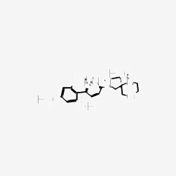 Cc1cc(C)c(-c2ccc(N3CC[C@@]4(COCCN4C)C3)nn2)c(O)c1